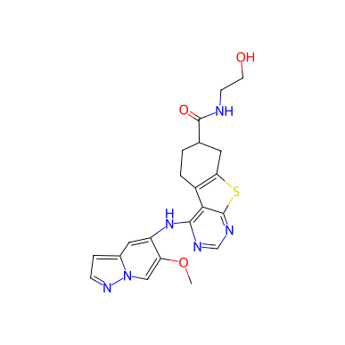 COc1cn2nccc2cc1Nc1ncnc2sc3c(c12)CCC(C(=O)NCCO)C3